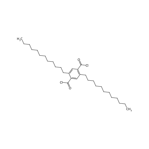 CCCCCCCCCCCCc1cc(C(=O)Cl)c(CCCCCCCCCCCC)cc1C(=O)Cl